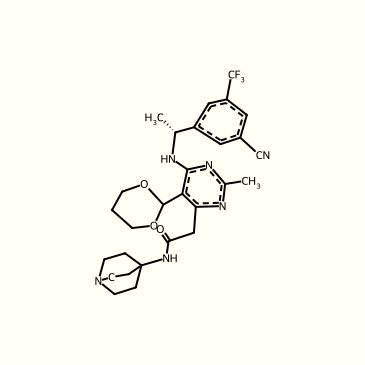 Cc1nc(CC(=O)NC23CCN(CC2)CC3)c(C2OCCCO2)c(N[C@H](C)c2cc(C#N)cc(C(F)(F)F)c2)n1